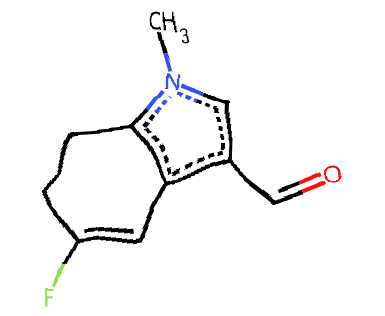 Cn1cc(C=O)c2c1CCC(F)=C2